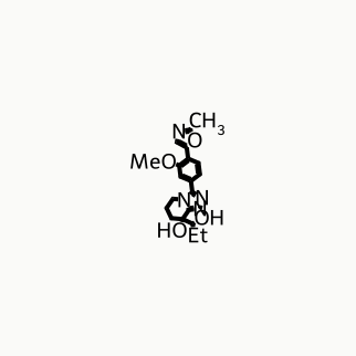 CCC(O)C1(O)CCCn2c(-c3ccc(-c4cnc(C)o4)c(OC)c3)nnc21